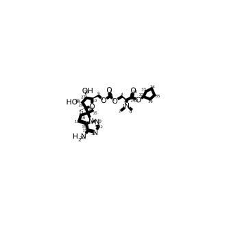 CN(C)[C@@H](COC(=O)OC[C@H]1O[C@@](C)(C2(C)CC=C3C(N)=NC=NN32)[C@H](O)[C@@H]1O)C(=O)OC1CCCC1